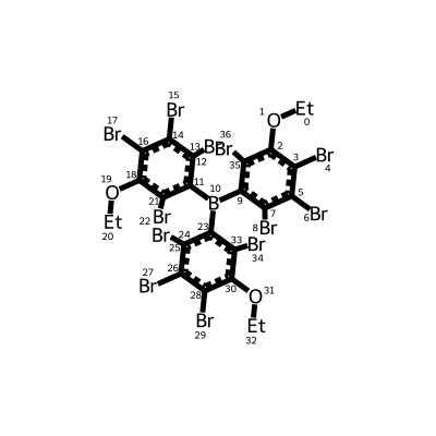 CCOc1c(Br)c(Br)c(Br)c(B(c2c(Br)c(Br)c(Br)c(OCC)c2Br)c2c(Br)c(Br)c(Br)c(OCC)c2Br)c1Br